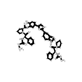 COC(=O)N[C@@H](C(=O)N1CCC[C@H]1C(=O)Nc1cc(-c2cnc(-c3ccc4[nH]c([C@@H]5CCCN5C(=O)[C@H](NC(=O)OC)c5ccccc5)nc4c3)o2)ccc1C)c1ccccc1